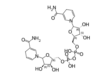 NC(=O)C1=CN(C2O[C@H](COP(=O)(O)OP(=O)(O)OC[C@H]3OC(N4C=CCC(C(N)=O)=C4)[C@H](O)[C@@H]3O)[C@@H](O)[C@H]2O)C=CC1